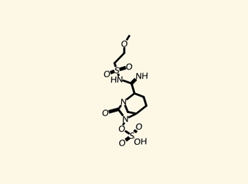 COCCS(=O)(=O)NC(=N)C1CCC2CN1C(=O)N2OS(=O)(=O)O